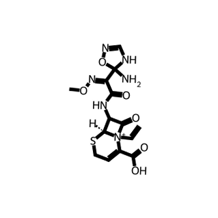 C=C[N+]12C(=O)C(NC(=O)C(=NOC)C3(N)NC=NO3)[C@@H]1SCC=C2C(=O)O